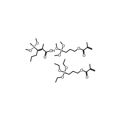 C=C(C)C(=O)OCCC[Si](OC)(OC)OC.C=C(C)C(=O)OCCC[Si](OCC)(OCC)OCC.CCCC(=C(C)C(=O)O)[Si](C)(OC)OC